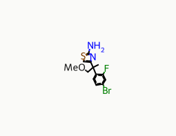 COCC(C)(c1csc(N)n1)c1ccc(Br)cc1F